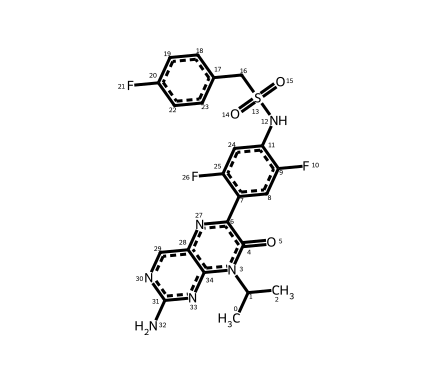 CC(C)n1c(=O)c(-c2cc(F)c(NS(=O)(=O)Cc3ccc(F)cc3)cc2F)nc2cnc(N)nc21